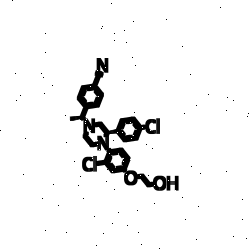 C[C@@H](c1ccc(C#N)cc1)N1CCN(c2ccc(OCCO)cc2Cl)[C@H](c2ccc(Cl)cc2)C1